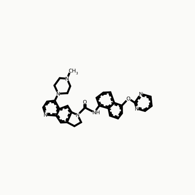 CN1CCN(c2ccnc3cc4c(cc23)N(C(=O)Nc2cccc3c(Oc5ncccn5)cccc23)CC4)CC1